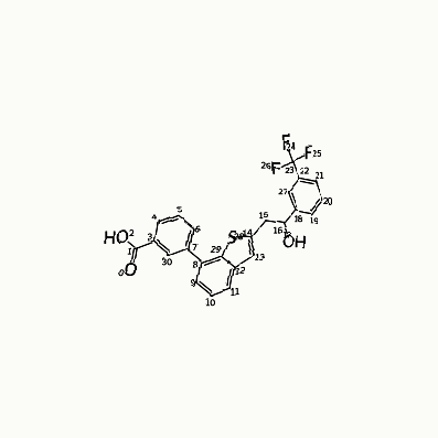 O=C(O)c1cccc(-c2cccc3cc(CC(O)c4cccc(C(F)(F)F)c4)sc23)c1